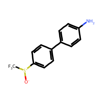 Nc1ccc(-c2ccc([S+]([O-])C(F)(F)F)cc2)cc1